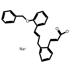 O=C([O-])/C=C/c1ccccc1C/C=C/c1ccccc1OCc1ccccc1.[Na+]